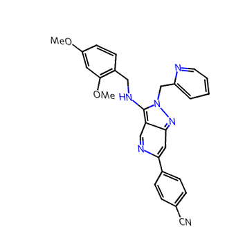 COc1ccc(CNc2c3cnc(-c4ccc(C#N)cc4)cc3nn2Cc2ccccn2)c(OC)c1